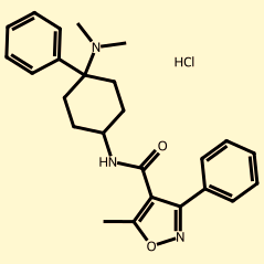 Cc1onc(-c2ccccc2)c1C(=O)NC1CCC(c2ccccc2)(N(C)C)CC1.Cl